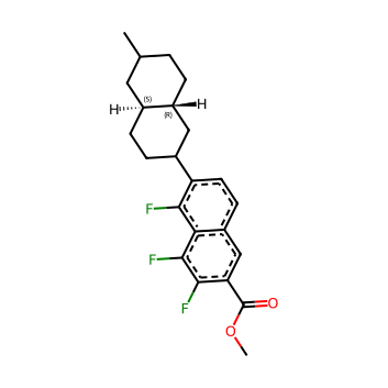 COC(=O)c1cc2ccc(C3CC[C@H]4CC(C)CC[C@@H]4C3)c(F)c2c(F)c1F